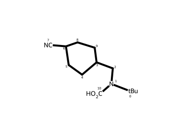 CC(C)(C)N(CC1CCC(C#N)CC1)C(=O)O